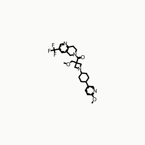 COCC1(C(=O)N2CCc3ncc(C(F)(F)F)cc3C2)CN(C2CCC(c3ccc(OC)nc3)CC2)C1